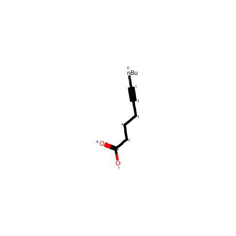 CCCCC#CCCCC([O])=O